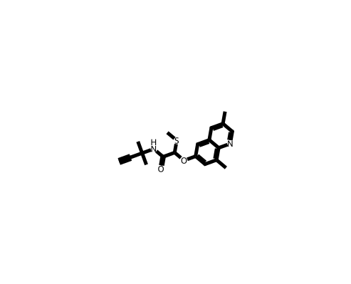 C#CC(C)(C)NC(=O)C(Oc1cc(C)c2ncc(C)cc2c1)SC